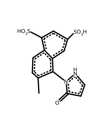 Cc1ccc2c(S(=O)(=O)O)cc(S(=O)(=O)O)cc2c1-n1[nH]ccc1=O